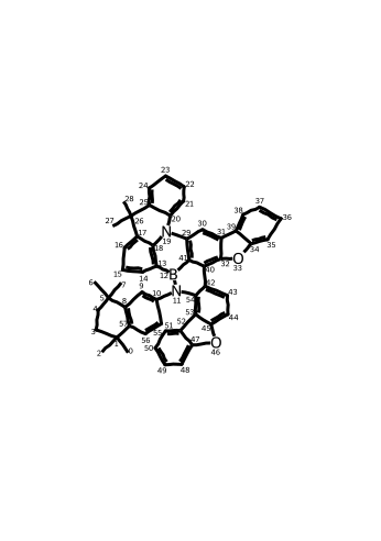 CC1(C)CCC(C)(C)c2cc(N3B4c5cccc6c5N(c5ccccc5C6(C)C)c5cc6c(oc7ccccc76)c(c54)-c4ccc5oc6ccccc6c5c43)ccc21